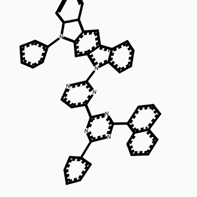 C1=CC2c3cc4c5ccccc5n(-c5nccc(-c6nc(-c7ccccc7)nc(-c7cccc8ccccc78)n6)n5)c4cc3N(c3ccccc3)C2C=C1